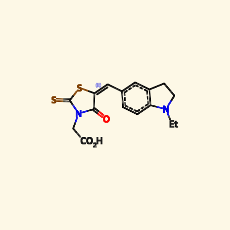 CCN1CCc2cc(/C=C3/SC(=S)N(CC(=O)O)C3=O)ccc21